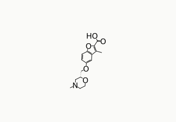 Cc1c(C(=O)O)oc2ccc(OC[C@H]3CN(C)CCO3)cc12